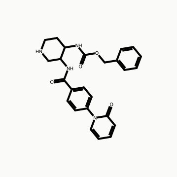 O=C(NC1CCNCC1NC(=O)c1ccc(-n2ccccc2=O)cc1)OCc1ccccc1